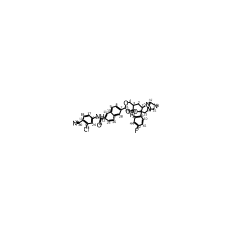 CC(CC1COC(c2ccc3cc(C(=O)Nc4ccc(C#N)c(Cl)c4)ccc3c2)OC1)C(O)(Cn1cncn1)c1ccc(F)cc1F